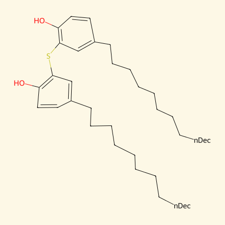 CCCCCCCCCCCCCCCCCCc1ccc(O)c(Sc2cc(CCCCCCCCCCCCCCCCCC)ccc2O)c1